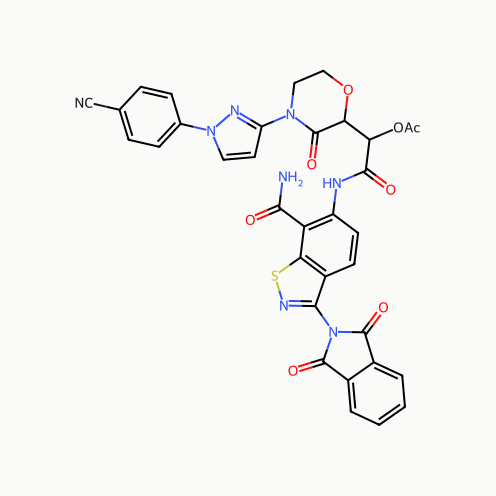 CC(=O)OC(C(=O)Nc1ccc2c(N3C(=O)c4ccccc4C3=O)nsc2c1C(N)=O)C1OCCN(c2ccn(-c3ccc(C#N)cc3)n2)C1=O